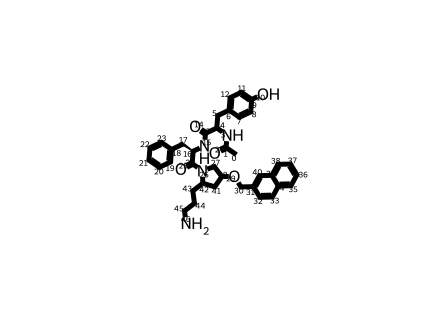 CC(=O)NC(Cc1ccc(O)cc1)C(=O)N[C@H](Cc1ccccc1)C(=O)N1CC(OCc2ccc3ccccc3c2)CC1CCCN